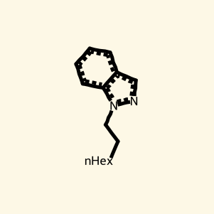 CCCCCCCCn1ncc2ccccc21